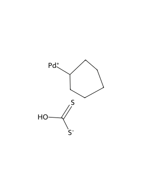 OC(=S)[S-].[Pd+][CH]1CCCCC1